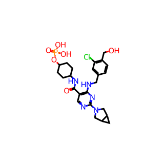 O=C(NC1CCC(OP(=O)(O)O)CC1)c1cnc(N2CC3CC3C2)nc1NCc1ccc(CO)c(Cl)c1